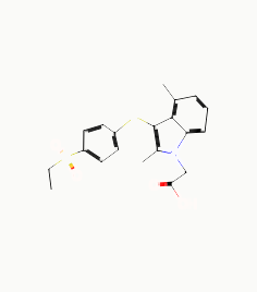 CCS(=O)(=O)c1ccc(Sc2c(C)n(CC(=O)O)c3cccc(C)c23)cc1